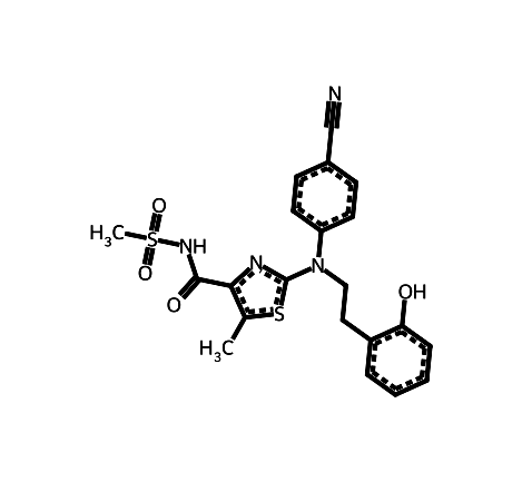 Cc1sc(N(CCc2ccccc2O)c2ccc(C#N)cc2)nc1C(=O)NS(C)(=O)=O